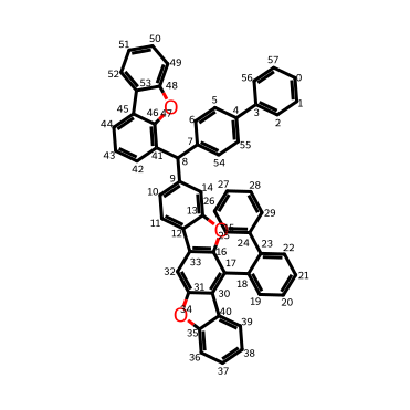 c1ccc(-c2ccc(C(c3ccc4c(c3)oc3c(-c5ccccc5-c5ccccc5)c5c(cc34)oc3ccccc35)c3cccc4c3oc3ccccc34)cc2)cc1